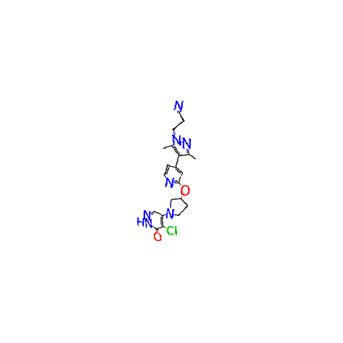 Cc1nn(CCC#N)c(C)c1-c1ccnc(O[C@@H]2CCN(c3cn[nH]c(=O)c3Cl)C2)c1